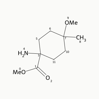 COC(=O)C1(N)CCC(C)(OC)CC1